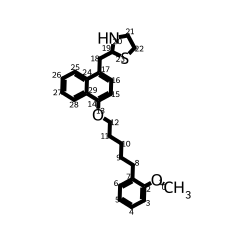 COc1ccccc1CCCCCOc1ccc(CC2NCCS2)c2ccccc12